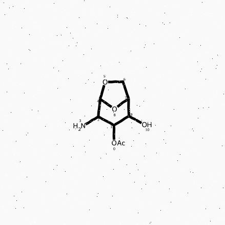 CC(=O)OC1C(N)C2OCC(O2)C1O